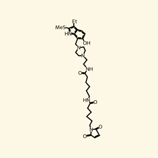 CCc1c(SC)[nH]c2c(CN3CCN(CCNC(=O)CCCCCNC(=O)CCCCCN4C(=O)C=CC4=O)CC3)c(O)ccc12